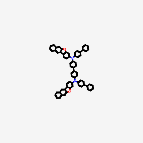 C1=CC2c3cc4ccccc4cc3OC2C=C1N(c1ccc(-c2ccccc2)cc1)c1ccc(-c2ccc(N(c3ccc(-c4ccccc4)cc3)c3ccc4c(c3)OC3C=c5ccccc5=CC43)cc2)cc1